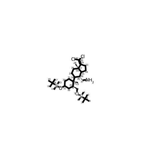 CC(C)(C)[Si](C)(C)OC[C@H]1CC(O[Si](C)(C)C(C)(C)C)CC[C@]1(C)C1CC[C@]2(C)C(=C(Cl)Cl)CCC2[C@@H]1CN